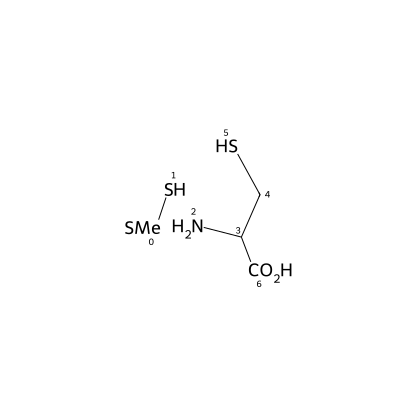 CSS.NC(CS)C(=O)O